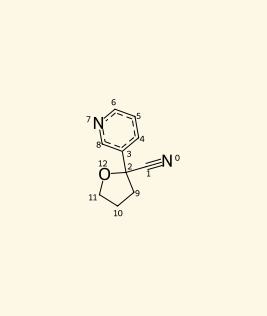 N#CC1(c2cccnc2)CCCO1